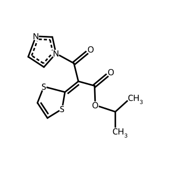 CC(C)OC(=O)C(C(=O)n1ccnc1)=C1SC=CS1